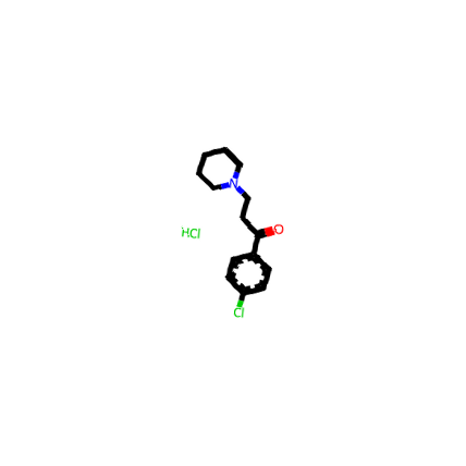 Cl.O=C(CCN1CCCCC1)c1ccc(Cl)cc1